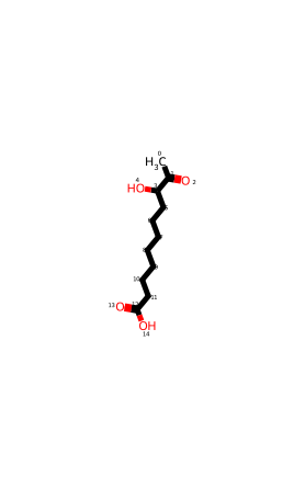 CC(=O)C(O)CCCCCCCC(=O)O